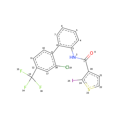 O=C(Nc1ccccc1-c1ccc(C(F)(F)F)cc1Cl)c1ccsc1I